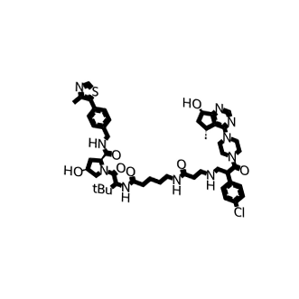 Cc1ncsc1-c1ccc(CNC(=O)[C@@H]2C[C@@H](O)CN2C(=O)C(NC(=O)CCCCNC(=O)CCNCC(C(=O)N2CCN(c3ncnc4c3[C@H](C)C[C@H]4O)CC2)c2ccc(Cl)cc2)C(C)(C)C)cc1